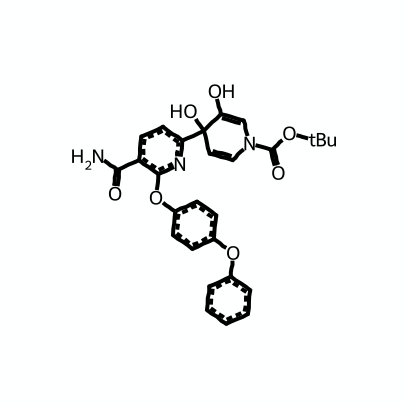 CC(C)(C)OC(=O)N1C=CC(O)(c2ccc(C(N)=O)c(Oc3ccc(Oc4ccccc4)cc3)n2)C(O)=C1